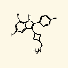 Cc1ccc(-c2[nH]c3c(F)cc(F)cc3c2C2CC(CN)C2)cc1